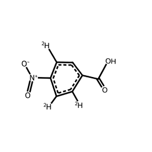 [2H]c1cc(C(=O)O)c([2H])c([2H])c1[N+](=O)[O-]